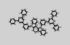 c1ccc(-c2cc(-c3cccc(-n4c5c(c6ccccc64)-c4c(c6ccccc6n4-c4cccc(-c6cc(-c7ccccc7)nc(-c7ccccc7)c6)c4)CC5)c3)cc(-c3ccccc3)n2)cc1